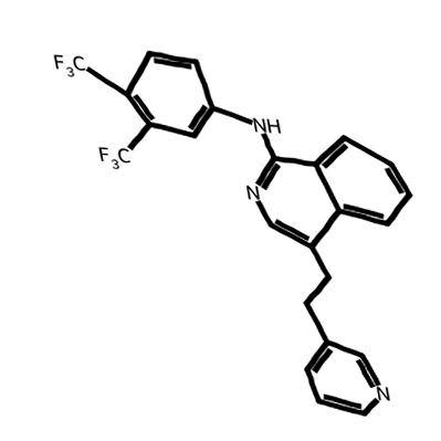 FC(F)(F)c1ccc(Nc2ncc(CCc3cccnc3)c3ccccc23)cc1C(F)(F)F